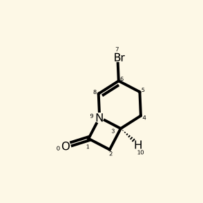 O=C1C[C@@H]2CCC(Br)=CN12